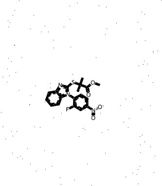 COC(=O)C(C)(C)Sc1nc2ccccc2n1-c1ccc([N+](=O)[O-])cc1F